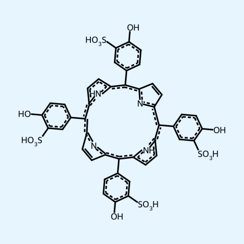 O=S(=O)(O)c1cc(-c2c3nc(c(-c4ccc(O)c(S(=O)(=O)O)c4)c4ccc([nH]4)c(-c4ccc(O)c(S(=O)(=O)O)c4)c4nc(c(-c5ccc(O)c(S(=O)(=O)O)c5)c5ccc2[nH]5)C=C4)C=C3)ccc1O